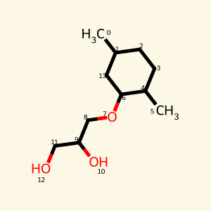 CC1CCC(C)C(OCC(O)CO)C1